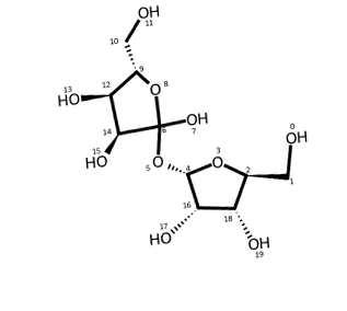 OC[C@@H]1O[C@@H](OC2(O)O[C@@H](CO)[C@H](O)[C@@H]2O)[C@@H](O)[C@H]1O